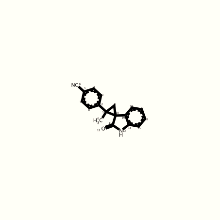 CC1(c2ccc(C#N)cc2)CC12C(=O)Nc1ccccc12